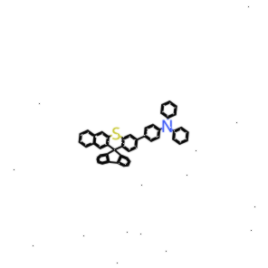 c1ccc(N(c2ccccc2)c2ccc(-c3ccc4c(c3)Sc3cc5ccccc5cc3C43c4ccccc4-c4ccccc43)cc2)cc1